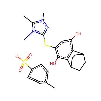 Cc1ccc(S(=O)(=O)[O-])cc1.Cc1n(C)c(Sc2cc(O)c3c(c2O)C2CCC3CC2)n[n+]1C